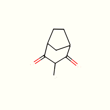 CC(C)C1C(=O)C2CCC(C2)C1=O